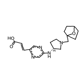 O=C(O)C=Cc1cnc(N[C@@H]2CCN(CC34CCC(CC3)O4)C2)cn1